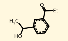 CCC(=O)c1cccc(C(C)O)c1